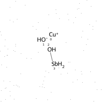 [Cu+].[OH-].[OH][SbH2]